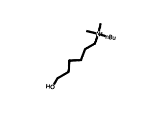 CCCC[N+](C)(C)CCCCCCO